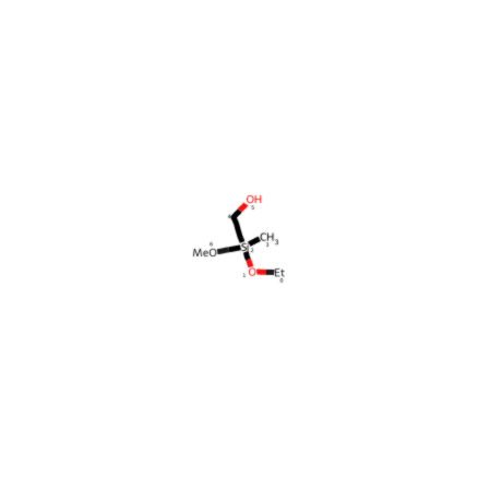 CCO[Si](C)(CO)OC